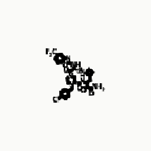 CC(C)(C)[C@H](Nc1nc2cc(C(F)(F)F)ccc2o1)C(=O)N1CCN(Cc2ccc(Cl)cc2)[C@@H](C(=O)NC(CC2CCC2)C(=O)C(N)=O)C1